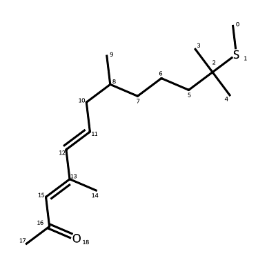 CSC(C)(C)CCCC(C)C/C=C/C(C)=C/C(C)=O